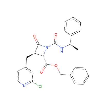 C[C@@H](NC(=O)N1C(=O)[C@H](Cc2ccnc(Cl)c2)[C@H]1C(=O)OCc1ccccc1)c1ccccc1